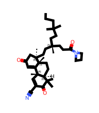 CCCC(C)(C)CC[C@](C)(CCC(=O)N1CCC1)CC[C@]1(C)CC(=O)C=C2[C@@]3(C)C=C(C#N)C(=O)C(C)(C)[C@@H]3CC[C@]21C